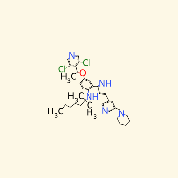 CCCCCC(C)(C)Nc1ccc(OC(C)c2c(Cl)cncc2Cl)cc1C(=N)/C=C/c1cncc(CN2CCCCC2)c1